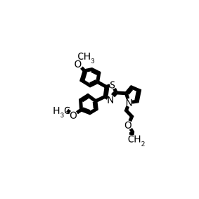 C=COCCn1cccc1-c1nc(-c2ccc(OC)cc2)c(-c2ccc(OC)cc2)s1